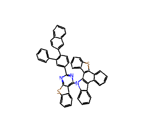 c1ccc(-c2cc(-c3nc(-n4c5ccccc5c5c6ccccc6c6sc7ccccc7c6c54)c4c(n3)sc3ccccc34)ccc2-c2ccc3ccccc3c2)cc1